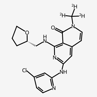 [2H]C([2H])([2H])n1ccc2cc(Nc3cc(Cl)ccn3)nc(NC[C@@H]3CCCO3)c2c1=O